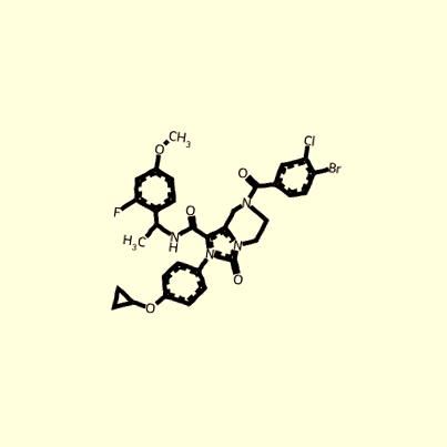 COc1ccc(C(C)NC(=O)c2c3n(c(=O)n2-c2ccc(OC4CC4)cc2)CCN(C(=O)c2ccc(Br)c(Cl)c2)C3)c(F)c1